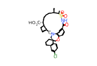 CC1CCC[C@@H](C(=O)O)C2CCC2CN2C[C@@]3(CCCc4cc(Cl)ccc43)COc3ccc(cc32)C(=O)NS(=O)(=O)C1C